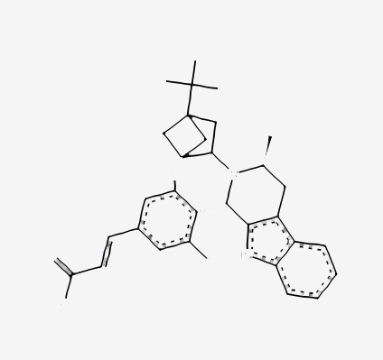 C[C@H]1Cc2c([nH]c3ccccc23)[C@H](c2c(F)cc(/C=C/C(=O)O)cc2F)N1C1CC2(C(F)(F)F)CC1C2